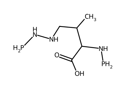 CC(CNNP)C(NP)C(=O)O